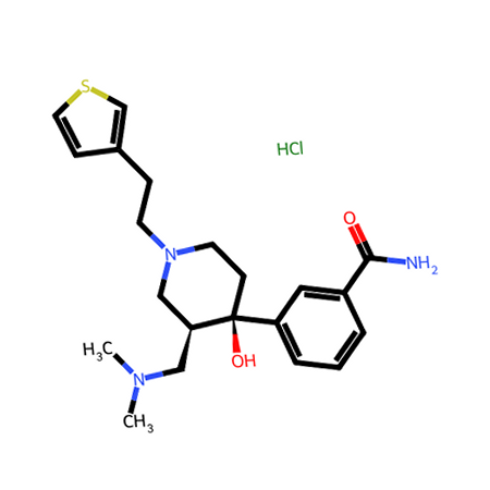 CN(C)C[C@H]1CN(CCc2ccsc2)CC[C@]1(O)c1cccc(C(N)=O)c1.Cl